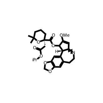 COC1=CC23CCCN2CCc2cc4c(cc2[C@@H]3C1OC(=O)[C@]1(CC(=O)OC(C)C)CCCC(C)(C)O1)OCO4